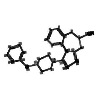 OC1Cc2ccccc2-n2c(nnc2C2CCC(Oc3ccccn3)CC2)C1